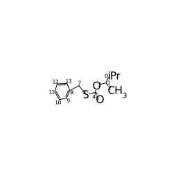 CC(C)C(C)OC(=O)SCc1ccccc1